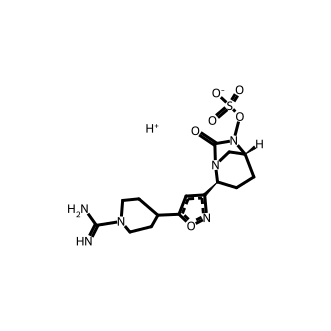 N=C(N)N1CCC(c2cc([C@@H]3CC[C@@H]4CN3C(=O)N4OS(=O)(=O)[O-])no2)CC1.[H+]